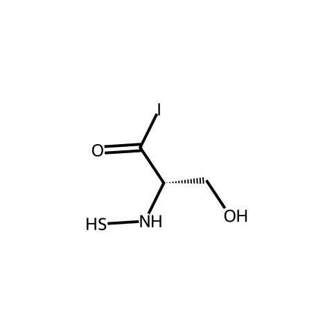 O=C(I)[C@H](CO)NS